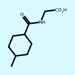 CC1CCC(C(=O)NCC(=O)O)CC1